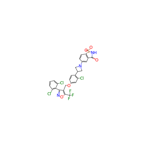 O=C1NS(=O)(=O)c2ccc(N3CC(c4ccc(OCc5c(-c6c(Cl)cccc6Cl)noc5C(F)(F)F)cc4Cl)C3)cc21